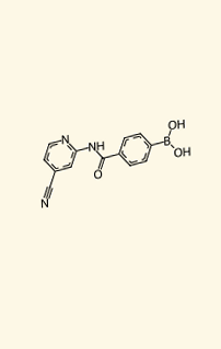 N#Cc1ccnc(NC(=O)c2ccc(B(O)O)cc2)c1